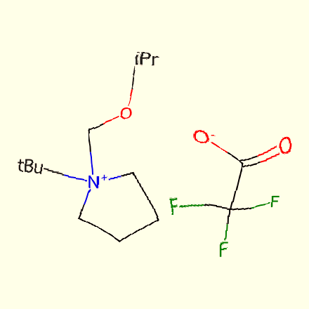 CC(C)OC[N+]1(C(C)(C)C)CCCC1.O=C([O-])C(F)(F)F